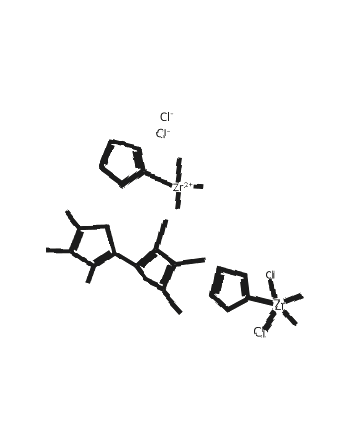 CC1=C(C)C(C)=C(C2=C(C)C(C)=C(C)C2)C1.[CH3][Zr+2]([CH3])([CH3])[C]1=CC=CC1.[CH3][Zr]([CH3])([Cl])([Cl])[C]1=CC=CC1.[Cl-].[Cl-]